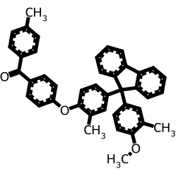 COc1ccc(C2(c3ccc(Oc4ccc(C(=O)c5ccc(C)cc5)cc4)c(C)c3)c3ccccc3-c3ccccc32)cc1C